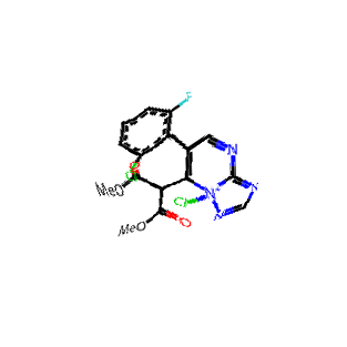 COC(=O)C(C(=O)OC)C1=C(c2c(F)cccc2Cl)C=NC2=NC=N[N+]21Cl